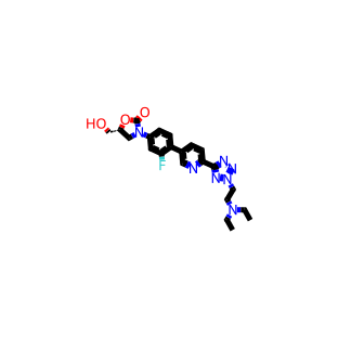 CCN(CC)CCn1nnc(-c2ccc(-c3ccc(N4C[C@H](CO)OC4=O)cc3F)cn2)n1